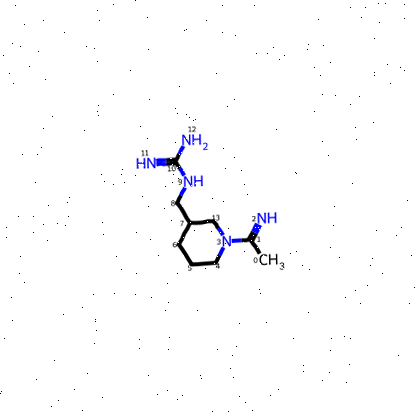 CC(=N)N1CCCC(CNC(=N)N)C1